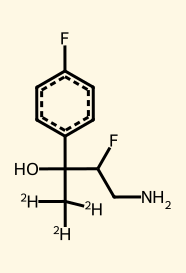 [2H]C([2H])([2H])C(O)(c1ccc(F)cc1)C(F)CN